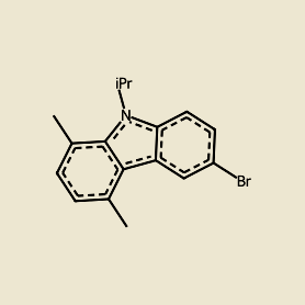 Cc1ccc(C)c2c1c1cc(Br)ccc1n2C(C)C